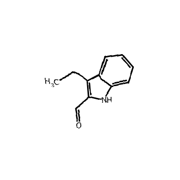 CCc1c(C=O)[nH]c2ccccc12